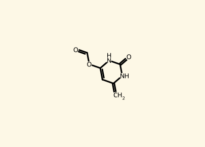 C=C1C=C(OC=O)NC(=O)N1